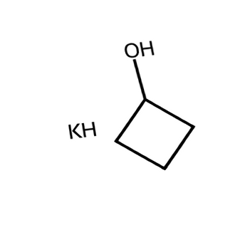 OC1CCC1.[KH]